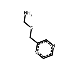 NCSCc1cnccn1